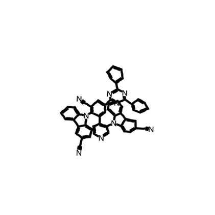 N#Cc1ccc2c(c1)c1ccccc1n2-c1cnccc1-c1cc(-c2nc(-c3ccccc3)nc(-c3ccccc3)n2)cc(C#N)c1-n1c2ccccc2c2cc(C#N)ccc21